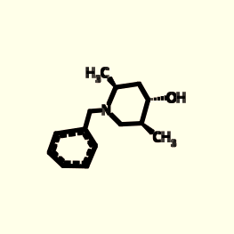 C[C@H]1CN(Cc2ccccc2)[C@@H](C)C[C@@H]1O